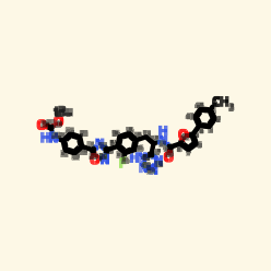 Cc1ccc(-c2ccc(C(=O)NC(Cc3ccc(-c4noc(-c5ccc(NC(=O)OC(C)(C)C)cc5)n4)c(F)c3)c3nnn[nH]3)o2)cc1